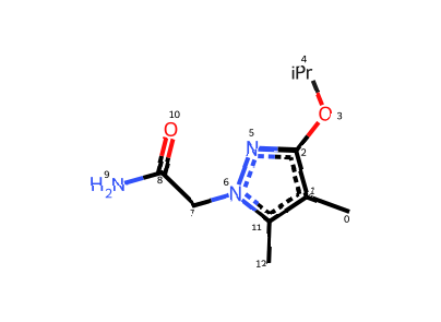 Cc1c(OC(C)C)nn(CC(N)=O)c1C